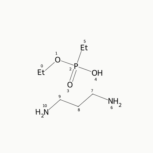 CCOP(=O)(O)CC.NCCCN